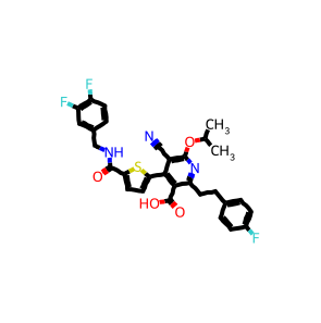 CC(C)Oc1nc(CCc2ccc(F)cc2)c(C(=O)O)c(-c2ccc(C(=O)NCc3ccc(F)c(F)c3)s2)c1C#N